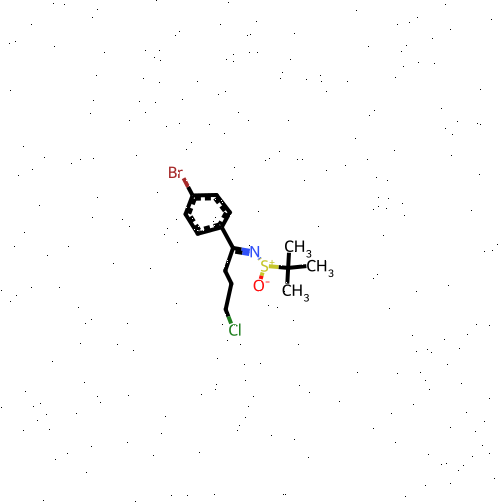 CC(C)(C)[S+]([O-])N=C(CCCCl)c1ccc(Br)cc1